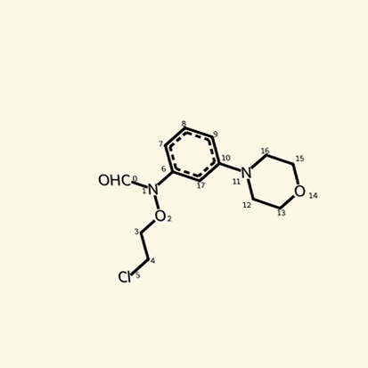 O=CN(OCCCl)c1cccc(N2CCOCC2)c1